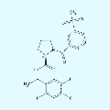 CC(NC(=O)[C@H]1CCCN1C(=O)c1cccc(S(C)(=O)=O)c1)c1cc(F)c(Cl)cc1F